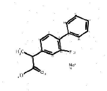 CC(C(=O)[O-])c1ccc(-c2ccccc2)c(F)c1.[Na+]